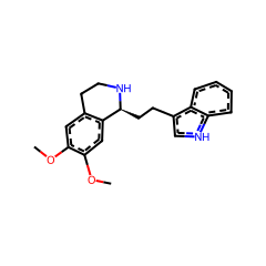 COc1cc2c(cc1OC)[C@H](CCc1c[nH]c3ccccc13)NCC2